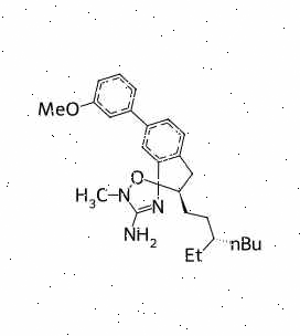 CCCC[C@H](CC)CC[C@@H]1Cc2ccc(-c3cccc(OC)c3)cc2C12N=C(N)N(C)O2